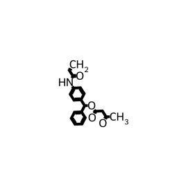 C=CC(=O)Nc1ccc(C(OC(=O)CC(C)=O)c2ccccc2)cc1